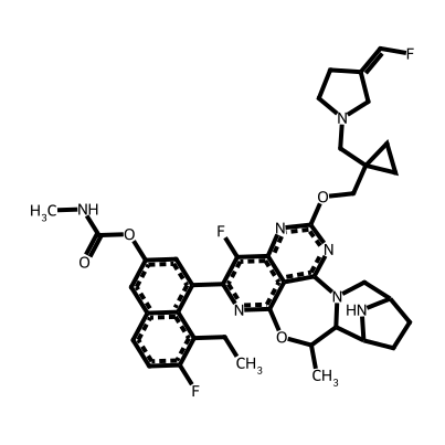 CCc1c(F)ccc2cc(OC(=O)NC)cc(-c3nc4c5c(nc(OCC6(CN7CCC(=CF)C7)CC6)nc5c3F)N3CC5CCC(N5)C3C(C)O4)c12